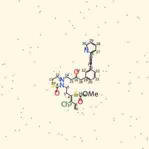 C=C/C(Cl)=C(/CCN1C(=O)SCCN1CCC(=O)Cc1cccc(C#Cc2ccccn2)c1)SC(=O)OC